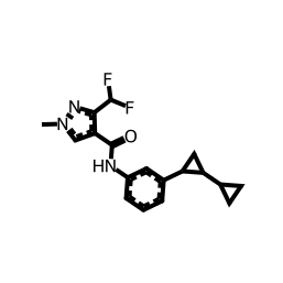 Cn1cc(C(=O)Nc2cccc(C3CC3C3CC3)c2)c(C(F)F)n1